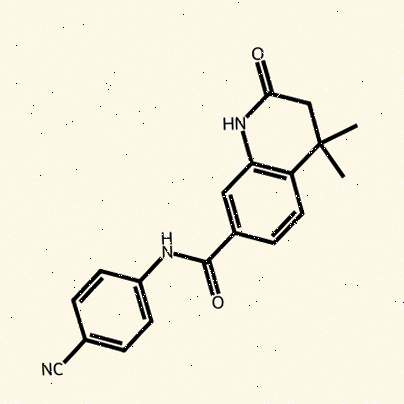 CC1(C)CC(=O)Nc2cc(C(=O)Nc3ccc(C#N)cc3)ccc21